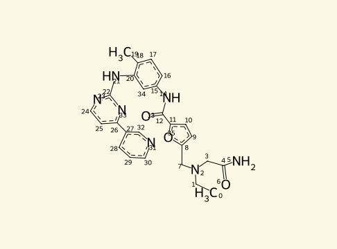 CCN(CC(N)=O)Cc1ccc(C(=O)Nc2ccc(C)c(Nc3nccc(-c4cccnc4)n3)c2)o1